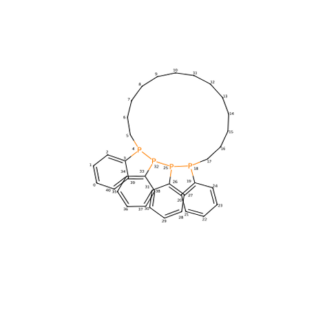 c1ccc(P2CCCCCCCCCCCCCP(c3ccccc3)P(c3ccccc3)P2c2ccccc2)cc1